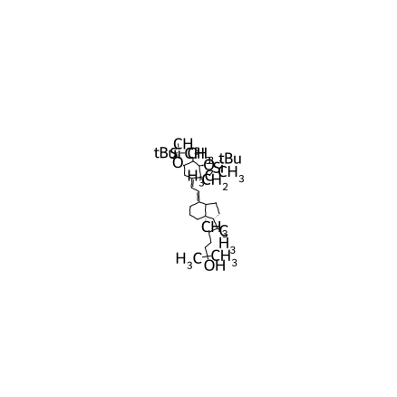 C=C1/C(=C\C=C2CCC[C@@]3(C)C2CC[C@@H]3[C@@H](C)CCCC(C)(C)O)C[C@@H](O[Si](C)(C)C(C)(C)C)[C@@H](C)[C@H]1O[Si](C)(C)C(C)(C)C